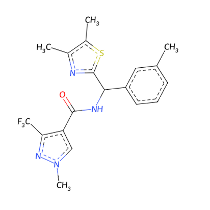 Cc1cccc(C(NC(=O)c2cn(C)nc2C(F)(F)F)c2nc(C)c(C)s2)c1